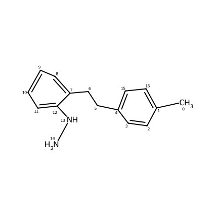 Cc1ccc(CCc2ccccc2NN)cc1